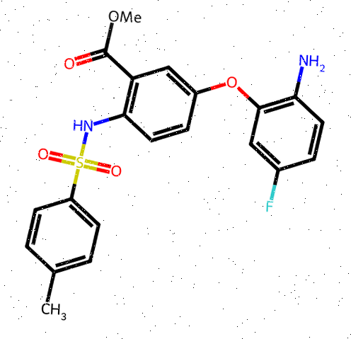 COC(=O)c1cc(Oc2cc(F)ccc2N)ccc1NS(=O)(=O)c1ccc(C)cc1